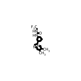 Cc1cc2ncc(-c3cccc(NC(=O)NCC(F)(F)F)c3)n2cc1C